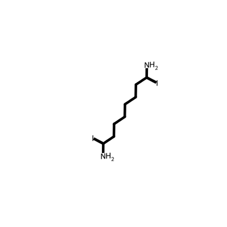 NC(I)CCCCCCC(N)I